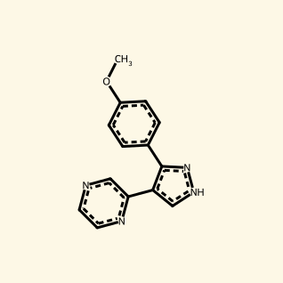 COc1ccc(-c2n[nH]cc2-c2cnccn2)cc1